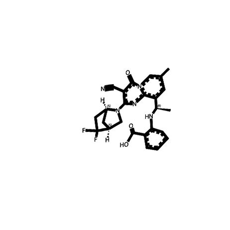 Cc1cc([C@@H](C)Nc2ccccc2C(=O)O)c2nc(N3C[C@@H]4C[C@H]3CC4(F)F)c(C#N)c(=O)n2c1